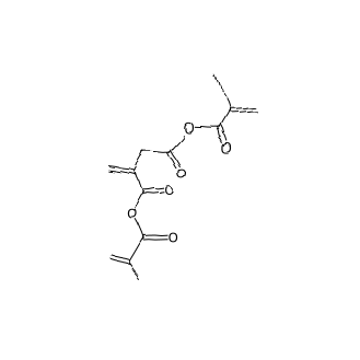 C=C(C)C(=O)OC(=O)CC(=C)C(=O)OC(=O)C(=C)C